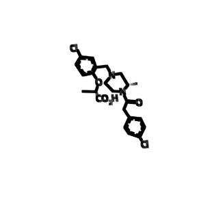 C[C@H](Oc1ccc(Cl)cc1CN1CCN(C(=O)Cc2ccc(Cl)cc2)[C@@H](C)C1)C(=O)O